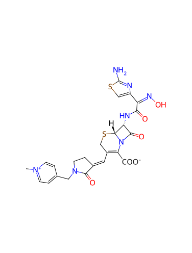 C[n+]1ccc(CN2CCC(=CC3=C(C(=O)[O-])N4C(=O)[C@@H](NC(=O)/C(=N\O)c5csc(N)n5)[C@H]4SC3)C2=O)cc1